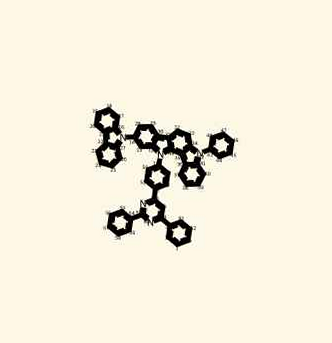 c1ccc(-c2cc(-c3ccc(-n4c5cc(-n6c7ccccc7c7ccccc76)ccc5c5ccc6c(c7ccccc7n6-c6ccccc6)c54)cc3)nc(-c3ccccc3)n2)cc1